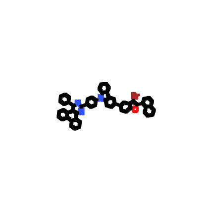 Brc1c(-c2cccc3ccccc23)oc2ccc(-c3ccc4c(c3)c3ccccc3n4-c3ccc(-c4nc(-c5ccccc5)c5c6ccccc6c6ccccc6c5n4)cc3)cc12